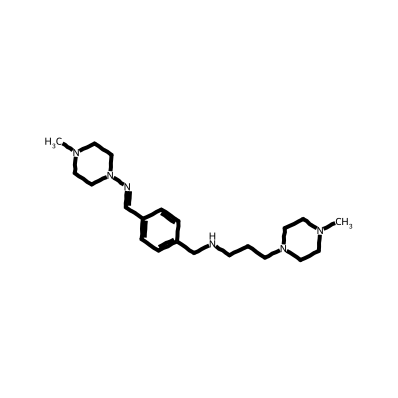 CN1CCN(CCCNCc2ccc(C=NN3CCN(C)CC3)cc2)CC1